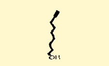 C#CCCCCCCCO